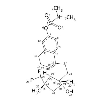 CN(C)S(=O)(=O)Oc1ccc2c(c1)CCC1=C2CC[C@]2(C)[C@H](O)C[C@](C)([C](F)F)[C@@H]12